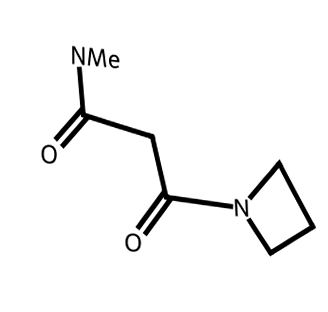 CNC(=O)CC(=O)N1CCC1